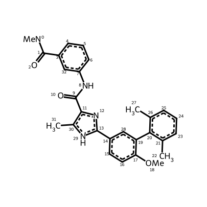 CNC(=O)c1cccc(NC(=O)c2nc(-c3ccc(OC)c(-c4c(C)cccc4C)c3)[nH]c2C)c1